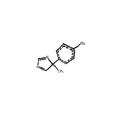 CC(C)(C)c1ccc(C2(C)C=NC=N2)cc1